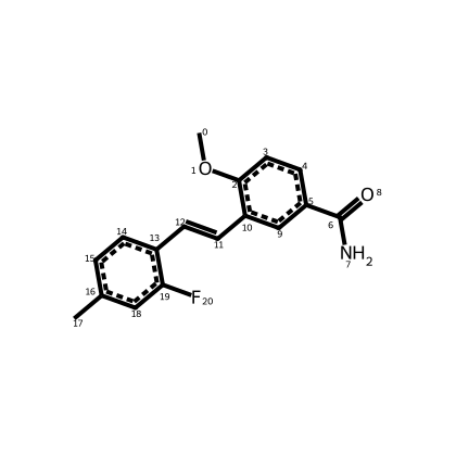 COc1ccc(C(N)=O)cc1/C=C/c1ccc(C)cc1F